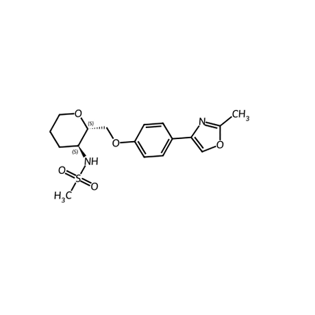 Cc1nc(-c2ccc(OC[C@H]3OCCC[C@@H]3NS(C)(=O)=O)cc2)co1